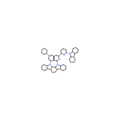 c1ccc(-c2cccc(-n3c4ccccc4c4ccc5c6ccccc6n(-c6cccc(-c7cccc(-n8c9ccccc9c9ccccc98)n7)n6)c5c43)c2)cc1